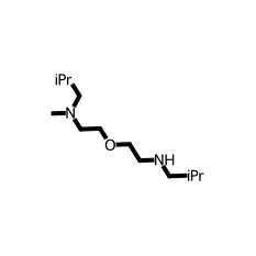 CC(C)CNCCOCCN(C)CC(C)C